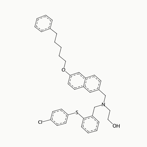 OCCN(Cc1ccc2cc(OCCCCCc3ccccc3)ccc2c1)Cc1ccccc1Sc1ccc(Cl)cc1